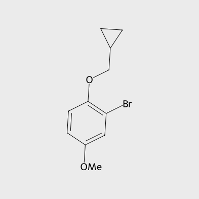 COc1ccc(OCC2CC2)c(Br)c1